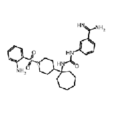 N=C(N)c1cccc(NC(=O)NC2(C3CCN(S(=O)(=O)c4ccccc4N)CC3)CCCCCC2)c1